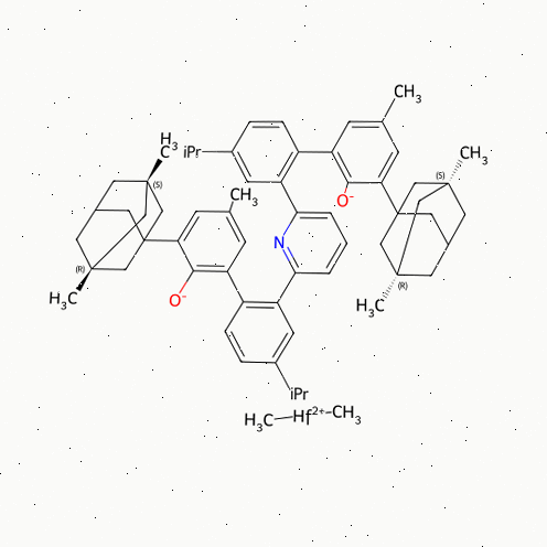 Cc1cc(-c2ccc(C(C)C)cc2-c2cccc(-c3cc(C(C)C)ccc3-c3cc(C)cc(C45CC6C[C@@](C)(C4)C[C@](C)(C6)C5)c3[O-])n2)c([O-])c(C23CC4C[C@@](C)(C2)C[C@](C)(C4)C3)c1.[CH3][Hf+2][CH3]